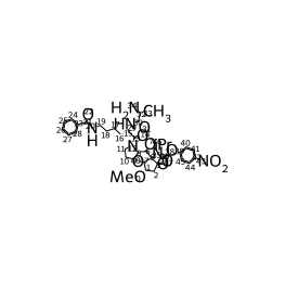 COC1CC(=O)C(C(=O)[C@H]2CCCN2C(=O)[C@H](CCCCNC(=O)c2ccccc2)NC(=O)[C@H](C)N)(N(C(=O)Oc2ccc([N+](=O)[O-])cc2)C(C)C)C1=O